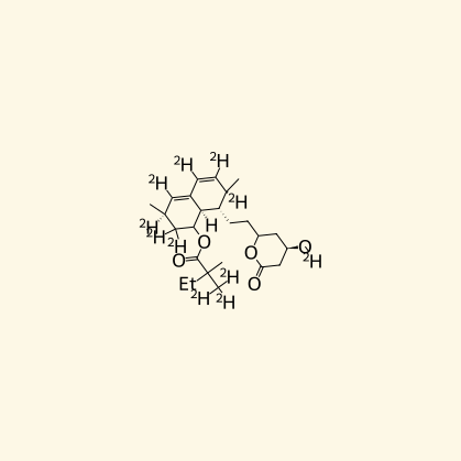 [2H]O[C@H]1CC(=O)OC(CC[C@@H]2[C@@H]3C(=C([2H])[C@]([2H])(C)C([2H])([2H])C3OC(=O)C(C)(CC)C([2H])([2H])[2H])C([2H])=C([2H])[C@]2([2H])C)C1